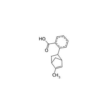 CC1=CC2CC1CC2c1ccccc1C(=O)O